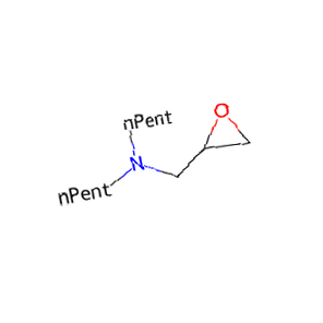 CCCCCN(CCCCC)CC1CO1